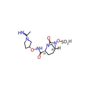 CC(=N)N1CCC(ONC(=O)[C@@H]2CC[C@@H]3CN2C(=O)N3OS(=O)(=O)O)C1